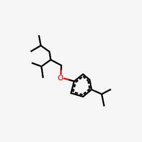 CC(C)CC(COc1ccc(C(C)C)cc1)C(C)C